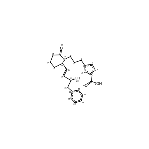 O=C(O)c1ncc(CCCN2C(=O)CCC[C@@H]2/C=C/[C@@H](O)Cc2ccccc2)o1